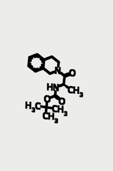 C[C@@H](NC(=O)OC(C)(C)C)C(=O)N1CCc2ccccc2C1